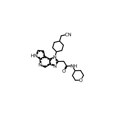 N#CCC1CCC(n2c(CC(=O)NC3CCOCC3)nc3cnc4[nH]ccc4c32)CC1